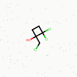 OC1(CCl)CCC1(Cl)Cl